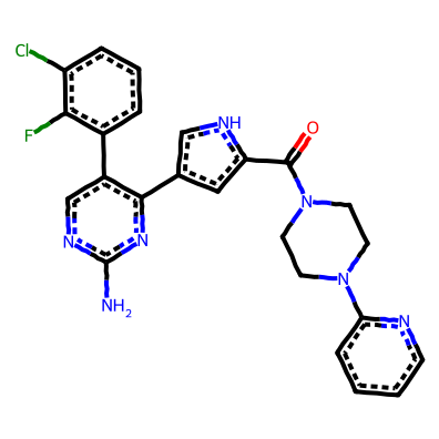 Nc1ncc(-c2cccc(Cl)c2F)c(-c2c[nH]c(C(=O)N3CCN(c4ccccn4)CC3)c2)n1